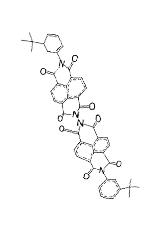 CC(C)(C)c1cccc(N2C(=O)c3ccc4c5c(ccc(c35)C2=O)C(=O)N(N2C(=O)c3ccc5c6c(ccc(c36)C2=O)C(=O)N(C2=CC=CC(C(C)(C)C)C2)C5=O)C4=O)c1